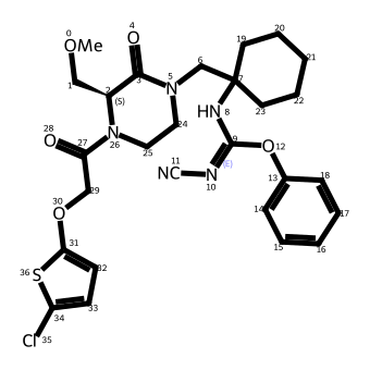 COC[C@H]1C(=O)N(CC2(N/C(=N\C#N)Oc3ccccc3)CCCCC2)CCN1C(=O)COc1ccc(Cl)s1